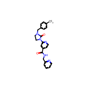 O=C(NCc1ccccn1)c1ccnc(N2CCN(Cc3ccc(C(F)(F)F)cc3)C2=O)c1